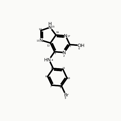 Oc1nc(Nc2ccc(Br)cc2)c2nc[nH]c2n1